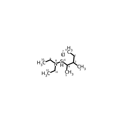 CCC(C)C(C)[SiH](Cl)N(CC)CC